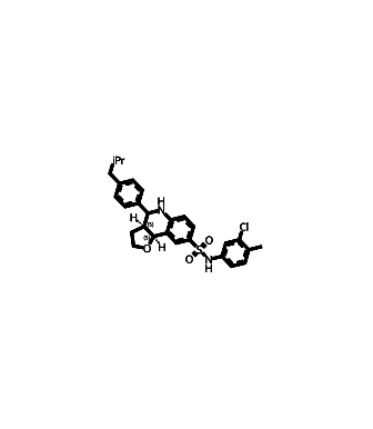 Cc1ccc(NS(=O)(=O)c2ccc3c(c2)[C@H]2OCC[C@H]2C(c2ccc(CC(C)C)cc2)N3)cc1Cl